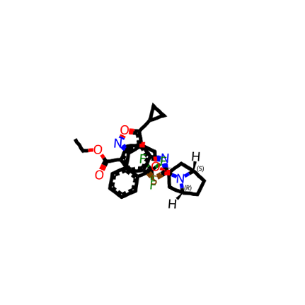 CCOC(=O)c1ccc2nc(N3[C@@H]4CC[C@H]3C[C@H](OCc3c(-c5ccccc5C(F)(F)F)noc3C3CC3)C4)sc2c1